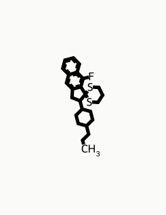 CCCC1CCC(C2Cc3cc4ccccc4c(F)c3C23SCCCS3)CC1